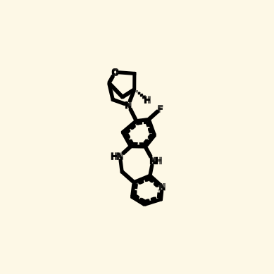 Fc1cc2c(cc1N1CC3C[C@H]1CO3)NCc1cccnc1N2